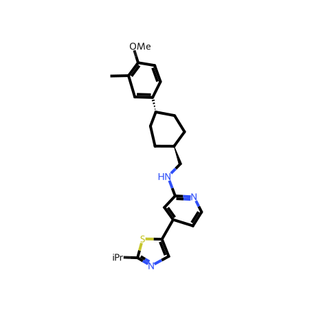 COc1ccc([C@H]2CC[C@H](CNc3cc(-c4cnc(C(C)C)s4)ccn3)CC2)cc1C